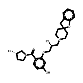 O=C(c1ccc(O)cc1OC[C@@H](O)CN1CCC2(CC1)Cc1ccccc1O2)N1CC[C@H](O)C1